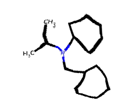 CC(C)N(CC1CCCCC1)C1CCCCC1